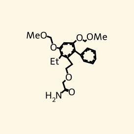 CCc1c(OCOC)cc(OCOC)c(-c2ccccc2)c1CCOCC(N)=O